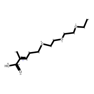 CCOCCOCCOCC/C=C(\C)C(=O)O